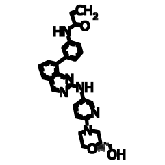 C=CC(=O)Nc1cccc(-c2cccc3cnc(Nc4ccc(N5CCO[C@@H](CO)C5)nc4)nc23)c1